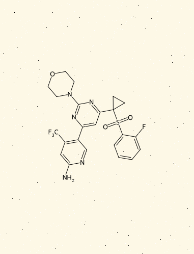 Nc1cc(C(F)(F)F)c(-c2cc(C3(S(=O)(=O)c4ccccc4F)CC3)nc(N3CCOCC3)n2)cn1